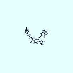 C=C(C)C(F)(C(=C)C)c1ccc(C#Cc2cc(C(=O)NCCCc3cn[nH]c3)ccc2-n2cccn2)cc1